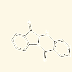 O=C1c2ccccc2N2C(=O)c3cnccc3NC12